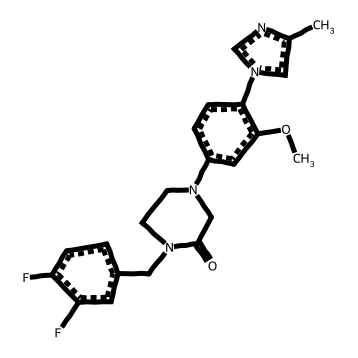 COc1cc(N2CCN(Cc3ccc(F)c(F)c3)C(=O)C2)ccc1-n1cnc(C)c1